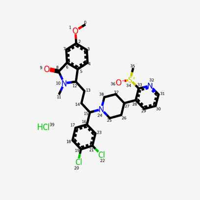 COc1ccc2c(c1)C(=O)N(C)C2CCC(c1ccc(Cl)c(Cl)c1)N1CCC(c2cccnc2[S+](C)[O-])CC1.Cl